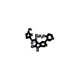 C/C(Nc1ccn(C(C)C)n1)=C1/C(=O)Nc2cnc(-c3cnccc3C)cc21